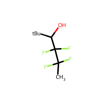 CC(C)(C)C(O)C(F)(F)C(C)(F)F